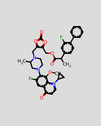 COc1c(N2CCN(Cc3oc(=O)oc3COC(=O)C(C)c3ccc(-c4ccccc4)c(F)c3)C(C)C2)c(F)cc2c(=O)ccn(C3CC3)c12